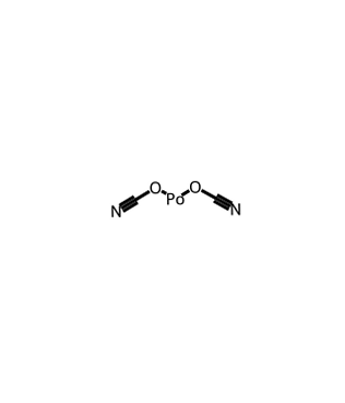 N#C[O][Po][O]C#N